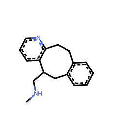 CNCC1Cc2ccccc2CCc2ncccc21